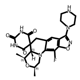 C[C@@H]1CN2c3c(cc4c(N5CCNCC5)noc4c3F)CC3(C(=O)NC(=O)NC3=O)[C@H]2[C@H](C)O1